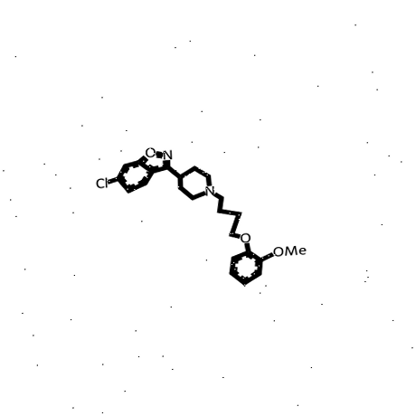 COc1c[c]ccc1OCCCCN1CCC(c2noc3cc(Cl)ccc23)CC1